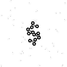 c1ccc(-n2c3ccccc3c3cc(-c4cccc5c6cccc7c8c9ccc%10c(c9ccc8n(c45)c67)c4cccc5c6cccc(-c7ccc8c(c7)c7ccccc7n8-c7ccccc7)c6n%10c54)ccc32)cc1